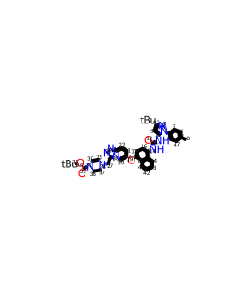 Cc1ccc(-n2nc(C(C)(C)C)cc2NC(=O)N[C@H]2CC[C@@H](Oc3ccc4nnc(CN5CCN(C(=O)OC(C)(C)C)CC5)n4c3)c3ccccc32)cc1